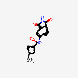 O=C(Nc1ccc2c(c1)C(=O)NC2=O)c1ccc([N+](=O)[O-])cc1